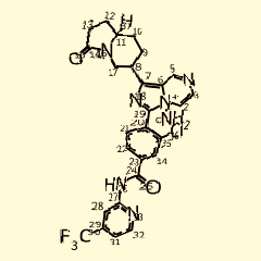 N[N+]12C=CN=CC1=C([C@@H]1CC[C@H]3CCC(=O)N3C1)N=C2c1ccc(C(=O)Nc2cc(C(F)(F)F)ccn2)cc1Cl